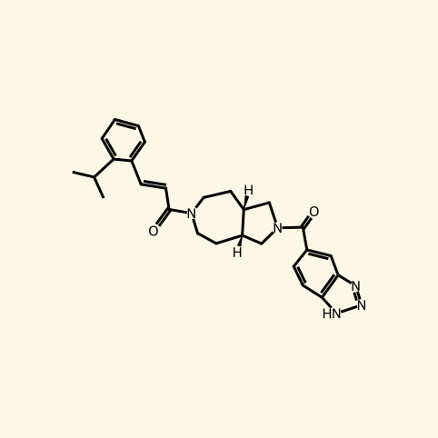 CC(C)c1ccccc1/C=C/C(=O)N1CC[C@@H]2CN(C(=O)c3ccc4[nH]nnc4c3)C[C@@H]2CC1